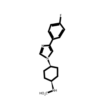 O=C(O)N[C@H]1CC[C@@H](n2cnc(-c3ccc(F)cc3)c2)CC1